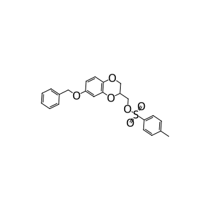 Cc1ccc(S(=O)(=O)OCC2COc3ccc(OCc4ccccc4)cc3O2)cc1